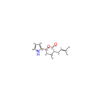 CC(C)=CCCC(C)CC(OC=O)c1ccc[nH]1